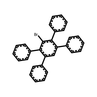 Brc1c(-c2ccccc2)c(-c2ccccc2)cc(-c2ccccc2)c1-c1ccccc1